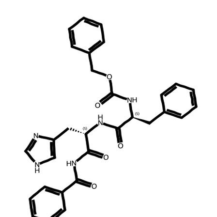 O=C(N[C@@H](Cc1ccccc1)C(=O)N[C@@H](Cc1c[nH]cn1)C(=O)NC(=O)c1ccccc1)OCc1ccccc1